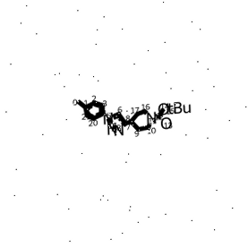 Cc1ccc(-n2cc(C3CCN(C(=O)OC(C)(C)C)CC3)nn2)cc1